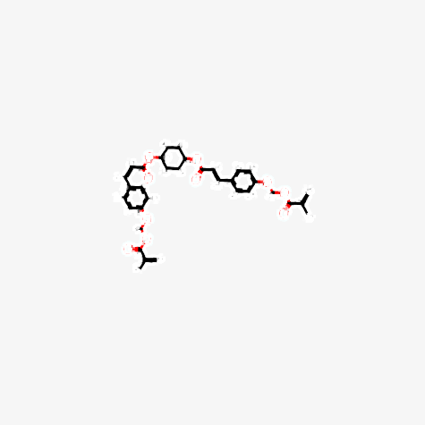 C=C(C)C(=O)OCOc1ccc(/C=C\C(=O)OC2CCC(OC(=O)/C=C/c3ccc(OCOC(=O)C(=C)C)cc3)CC2)cc1